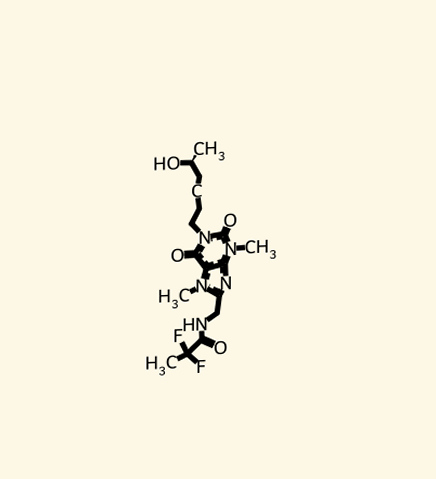 C[C@@H](O)CCCCn1c(=O)c2c(nc(CNC(=O)C(C)(F)F)n2C)n(C)c1=O